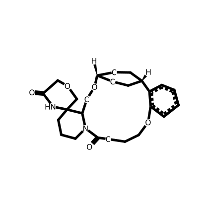 O=C1COCC2(CCCN3C(=O)CCCOc4ccccc4[C@H]4CC[C@H](CC4)OCC32)N1